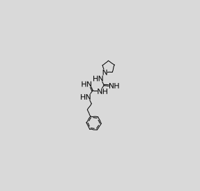 N=C(NCCc1ccccc1)NC(=N)NN1CCCC1